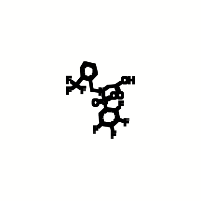 O=C(O)CN(Cc1ccccc1C(F)(F)F)S(=O)(=O)c1cc(F)c(F)c(F)c1F